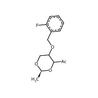 CC(=O)C1O[C@@H](C)OCC1OCc1ccccc1F